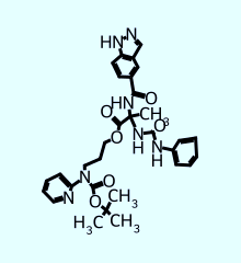 CC(C)(C)OC(=O)N(CCCOC(=O)C(C)(NC(=O)Nc1ccccc1)NC(=O)c1ccc2[nH]ncc2c1)c1ccccn1